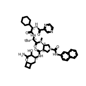 CN(C(=O)[C@@H](NC(=O)[C@@H](NC(=O)c1cnccn1)C1CCCCC1)C(C)(C)C)[C@H]1CN(C(=O)Nc2ccc3ccccc3c2)C[C@H]1C(=O)N[C@@H](CC1CCC1)C(O)C(N)=O